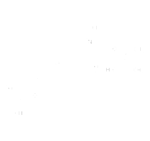 CC(=O)OCCOCCN(C)C(=O)OC(C)(C)C